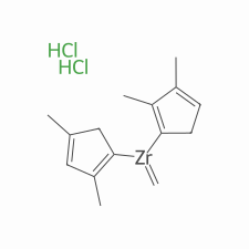 Cl.Cl.[CH2]=[Zr]([C]1=C(C)C=C(C)C1)[C]1=C(C)C(C)=CC1